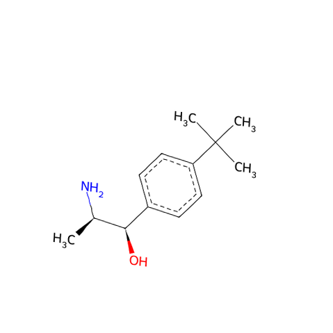 C[C@@H](N)[C@H](O)c1ccc(C(C)(C)C)cc1